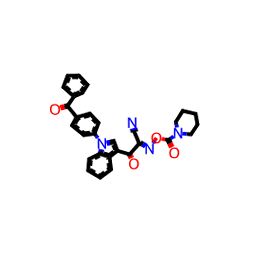 N#C/C(=N\OC(=O)N1CCCCC1)C(=O)c1cn(-c2ccc(C(=O)c3ccccc3)cc2)c2ccccc12